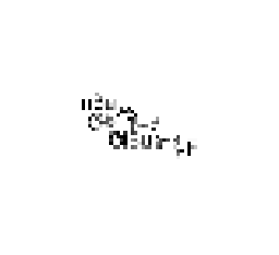 CCCCC(SCCCCCF)C(=O)OCC(C)C